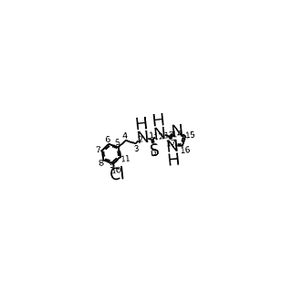 S=C(NCCc1cccc(Cl)c1)Nc1ncc[nH]1